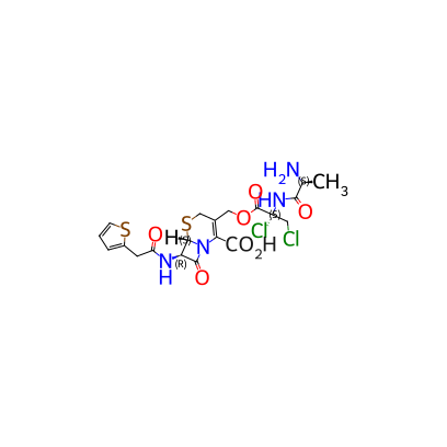 C[C@H](N)C(=O)N[C@@](Cl)(CCl)C(=O)OCC1=C(C(=O)O)N2C(=O)[C@@H](NC(=O)Cc3cccs3)[C@@H]2SC1